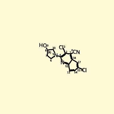 N#Cc1c(Cl)c(N2CC[C@@H](O)C2)nc2ccc(Cl)cc12